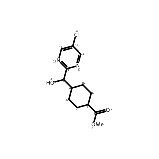 COC(=O)C1CCC(C(O)c2ncc(Cl)cn2)CC1